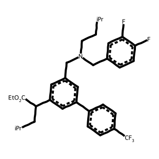 CCOC(=O)C(CC(C)C)c1cc(CN(CCC(C)C)Cc2ccc(F)c(F)c2)cc(-c2ccc(C(F)(F)F)cc2)c1